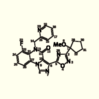 COC1(c2noc(-c3ncn4c3c(=O)n(Cc3ccccn3)c3c(F)cccc34)n2)CCCC1